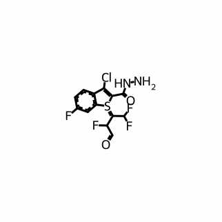 NNC(=O)C1=C(Cl)c2ccc(F)cc2S1=C(C(F)F)C(F)C=O